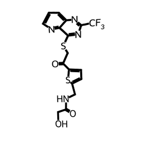 O=C(CO)NCc1ccc(C(=O)CSc2nc(C(F)(F)F)nc3cccnc23)s1